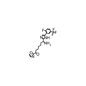 NC(CCCCCC(=O)c1ncco1)c1ncc(-c2cc(C(F)(F)F)ccc2F)[nH]1